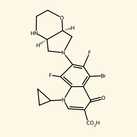 O=C(O)c1cn(C2CC2)c2c(F)c(N3C[C@@H]4OCCN[C@@H]4C3)c(F)c(Br)c2c1=O